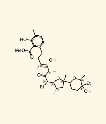 CC[C@@H](C(=O)[C@@H](C)[C@@H](O)[C@H](C)CCc1ccc(C)c(O)c1C(=O)OC)[C@H]1O[C@](C)(C2CC[C@](O)(CC)[C@H](C)O2)C[C@@H]1C